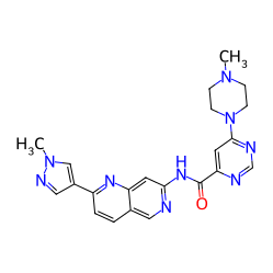 CN1CCN(c2cc(C(=O)Nc3cc4nc(-c5cnn(C)c5)ccc4cn3)ncn2)CC1